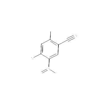 N#Cc1cc([N+](=O)[O-])c(N)cc1Cl